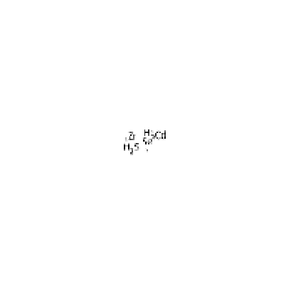 S.[Cd].[SeH2].[Zr]